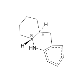 c1ccc2c(c1)C[C@@H]1CCCC[C@H]1N2